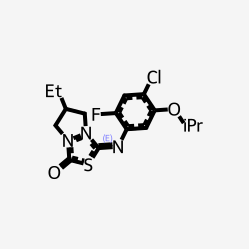 CCC1Cn2c(=O)s/c(=N/c3cc(OC(C)C)c(Cl)cc3F)n2C1